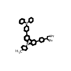 Cc1ccc(-n2c3ccc(-c4ccc(C(CC(C)C)C(C)C)cc4)cc3c3cc(-c4ccc(N(c5ccccc5)c5ccccc5)cc4)ccc32)cc1